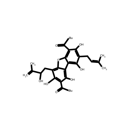 C=C(C)C(O)Cc1c(O)c(C(=O)C(C)CC)c(O)c2c1oc1c(C(=O)C(C)CC)c(O)c(CC=C(C)C)c(O)c12